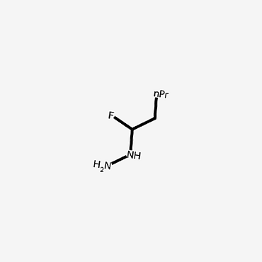 CCCCC(F)NN